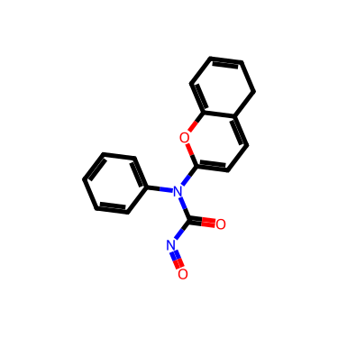 O=NC(=O)N(C1=CC=C2CC=CC=C2O1)c1ccccc1